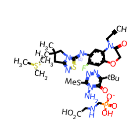 C#CCN1C(=O)COc2cc(F)c(/N=c3\snc4n3CC(C)(C)C4)cc21.CSc1nnc(C(C)(C)C)c(=O)n1N.C[S+](C)C.O=C(O)CNCP(=O)([O-])O